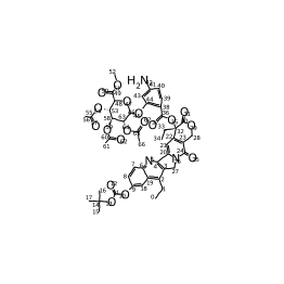 CCc1c2c(nc3ccc(OC(=O)OC(C)(C)C)cc13)-c1cc3c(c(=O)n1C2)COC(=O)[C@@]3(CC)OC(=O)c1ccc(N)cc1O[C@@H]1O[C@H](C(=O)OC)[C@@H](OC(C)=O)[C@H](OC(C)=O)[C@H]1OC(C)=O